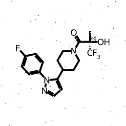 C[C@@](O)(C(=O)N1CCC(c2ccnn2-c2ccc(F)cc2)CC1)C(F)(F)F